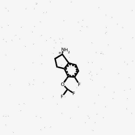 N[C@@H]1CCc2c1ccc(F)c2OC(F)F